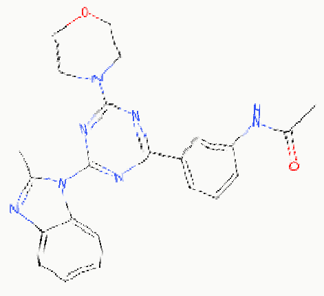 CC(=O)Nc1cccc(-c2nc(N3CCOCC3)nc(-n3c(C)nc4ccccc43)n2)c1